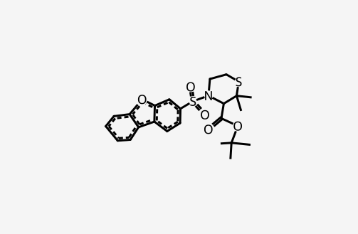 CC(C)(C)OC(=O)C1N(S(=O)(=O)c2ccc3c(c2)oc2ccccc23)CCSC1(C)C